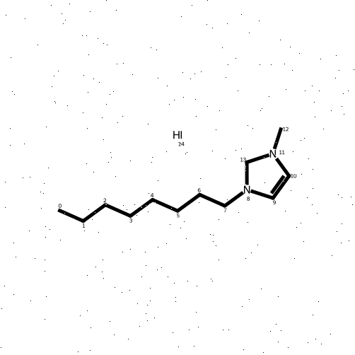 CCCCCCCCN1C=CN(C)C1.I